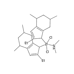 CCC1=CC2=C(CC(C)CC2C)[CH]1[Zr]([Cl])([Cl])([CH]1C(CC)=CC2=C1CC(C)CC2C)[SiH](C)C